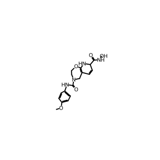 COc1ccc(NC(=O)N2CCOC3=C(C=CC(C(=O)NO)N3)C2)cc1